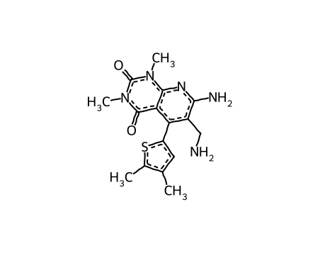 Cc1cc(-c2c(CN)c(N)nc3c2c(=O)n(C)c(=O)n3C)sc1C